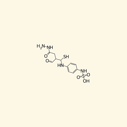 NNC(=O)CC(C=O)C(S)Nc1ccc(NS(=O)(=O)O)cc1